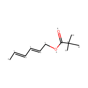 CC=CC=CCOC(=O)C(C)(C)C